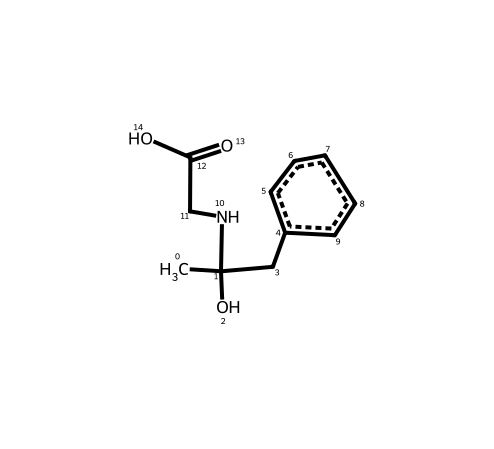 CC(O)(Cc1ccccc1)NCC(=O)O